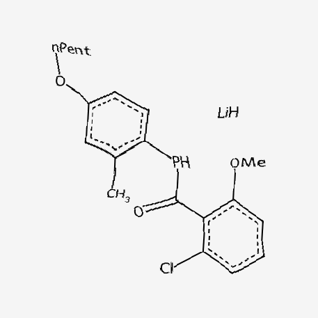 CCCCCOc1ccc(PC(=O)c2c(Cl)cccc2OC)c(C)c1.[LiH]